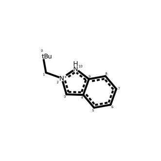 CC(C)(C)C[n+]1cc2ccccc2[nH]1